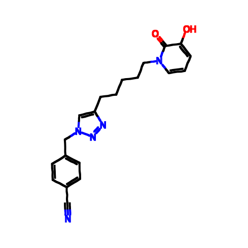 N#Cc1ccc(Cn2cc(CCCCCn3cccc(O)c3=O)nn2)cc1